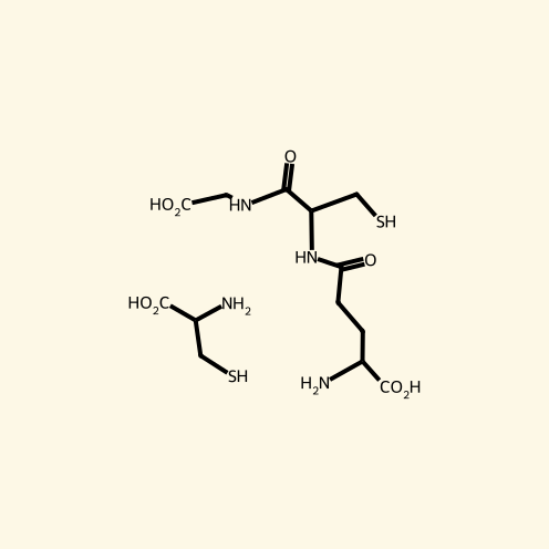 NC(CCC(=O)NC(CS)C(=O)NCC(=O)O)C(=O)O.NC(CS)C(=O)O